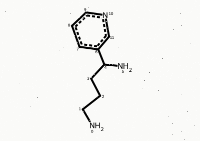 NCCCC(N)c1cccnc1